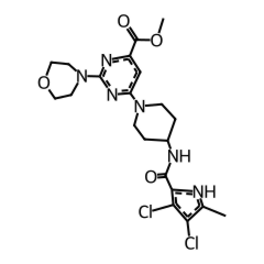 COC(=O)c1cc(N2CCC(NC(=O)c3[nH]c(C)c(Cl)c3Cl)CC2)nc(N2CCOCC2)n1